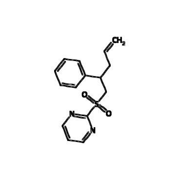 C=CCC(CS(=O)(=O)c1ncccn1)c1ccccc1